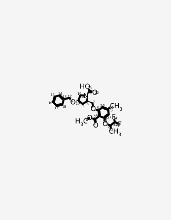 COC(=O)c1c(OC[C@H]2C[C@H](OCc3ccccc3)CN2C(=O)O)cc(C)cc1OC(C)C(F)F